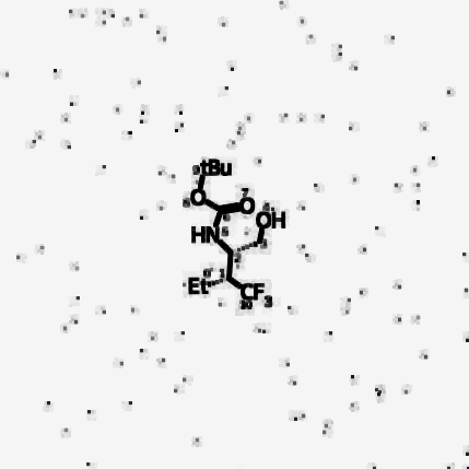 CC[C@H]([C@@H](CO)NC(=O)OC(C)(C)C)C(F)(F)F